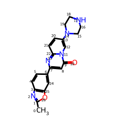 Cc1nc2ccc(-c3cc(=O)n4cc(N5CCNCC5)ccc4n3)cc2o1